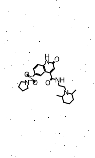 CC1CCCC(C)N1CCNC(=O)c1cc(=O)[nH]c2ccc(S(=O)(=O)N3CCCC3)cc12